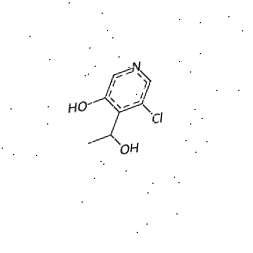 CC(O)c1c(O)cncc1Cl